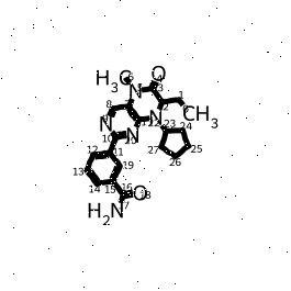 CCC1C(=O)N(C)c2cnc(-c3cccc(C(N)=O)c3)nc2N1C1CCCC1